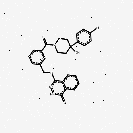 O=C(c1cccc(COc2n[nH]c(=O)c3ccccc23)c1)N1CCC(O)(c2ccc(Cl)cc2)CC1